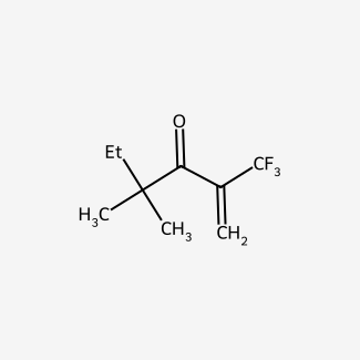 C=C(C(=O)C(C)(C)CC)C(F)(F)F